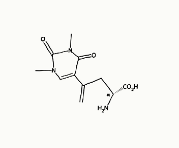 C=C(C[C@@H](N)C(=O)O)c1cn(C)c(=O)n(C)c1=O